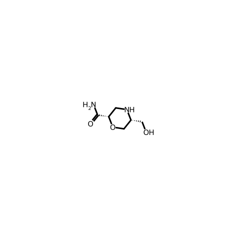 NC(=O)[C@@H]1CN[C@H](CO)CO1